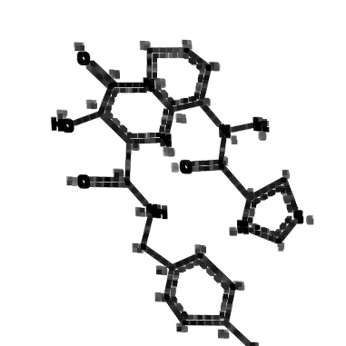 CCN(C(=O)c1cscn1)c1cccn2c(=O)c(O)c(C(=O)NCc3ccc(F)cc3)nc12